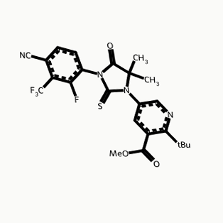 COC(=O)c1cc(N2C(=S)N(c3ccc(C#N)c(C(F)(F)F)c3F)C(=O)C2(C)C)cnc1C(C)(C)C